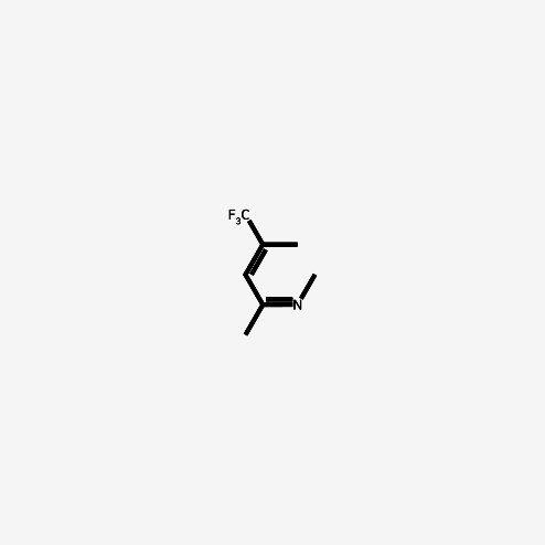 C/N=C(C)\C=C(/C)C(F)(F)F